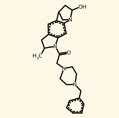 CC1Cc2cc3c(cc2N1C(=O)CN1CCN(Cc2ccccc2)CC1)N1CC3CC1O